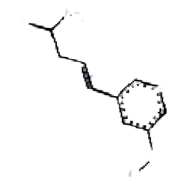 CC(N)C/C=C/c1cncc(OC(C)C)c1